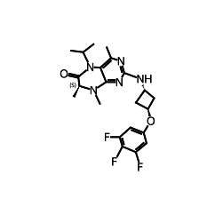 Cc1nc(N[C@H]2C[C@H](Oc3cc(F)c(F)c(F)c3)C2)nc2c1N(C(C)C)C(=O)[C@H](C)N2C